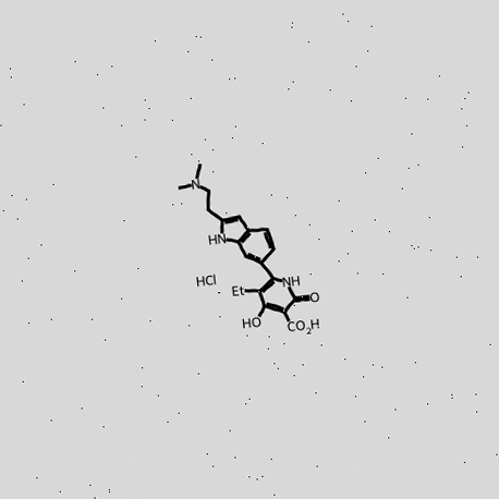 CCc1c(-c2ccc3cc(CCN(C)C)[nH]c3c2)[nH]c(=O)c(C(=O)O)c1O.Cl